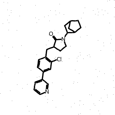 O=C1C(Cc2ccc(-c3cccnc3)cc2Cl)CCN1C1CC2CCC1C2